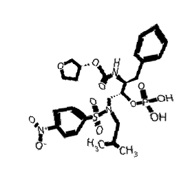 CC(C)CN(C[C@@H](OP(=O)(O)O)[C@H](Cc1ccccc1)NC(=O)O[C@@H]1CCOC1)S(=O)(=O)c1ccc([N+](=O)[O-])cc1